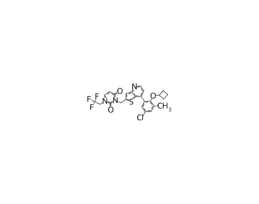 Cc1cc(Cl)cc(-c2ccnc3cc(Cn4c(=O)ccn(CC(F)(F)F)c4=O)sc23)c1OC1CCC1